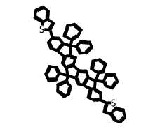 c1ccc(C2(c3ccccc3)c3cc(-c4cc5ccccc5s4)ccc3-c3cc4c(cc32)-c2cc3c(cc2C4(c2ccccc2)c2ccccc2)-c2ccc(-c4cc5ccccc5s4)cc2C3(c2ccccc2)c2ccccc2)cc1